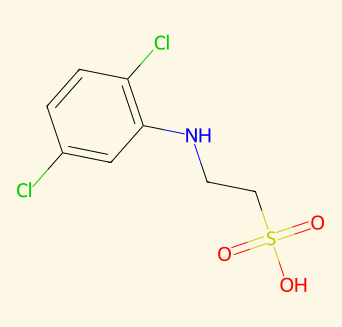 O=S(=O)(O)CCNc1cc(Cl)ccc1Cl